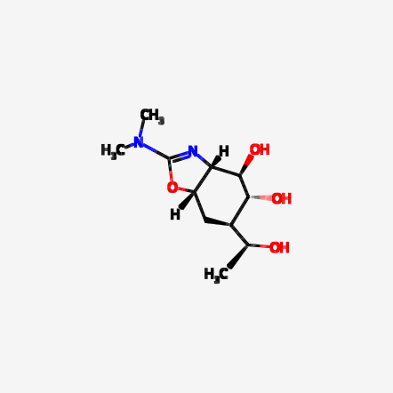 C[C@H](O)[C@H]1C[C@@H]2OC(N(C)C)=N[C@@H]2[C@@H](O)[C@@H]1O